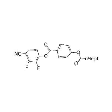 CCCCCCCC(=O)Oc1ccc(C(=O)Oc2ccc(C#N)c(F)c2F)cc1